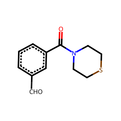 O=Cc1cccc(C(=O)N2CCSCC2)c1